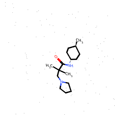 CC(C)(CN1CCCC1)C(=O)N[C@H]1CC[C@H](C)CC1